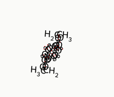 C=C(C)C(=O)Oc1ccc(OC(=O)C(c2ccccc2)N2C(=O)c3cc(Oc4ccccc4)c4c5c(Oc6ccccc6)cc6c7c(cc(Oc8ccccc8)c(c8c(Oc9ccccc9)cc(c3c48)C2=O)c75)C(=O)N(C(C(=O)Oc2ccc(OC(=O)C(=C)C)cc2)c2ccccc2)C6=O)cc1